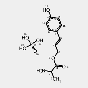 CC(N)C(=O)OC/C=C/c1ccc(O)cc1.O=P(O)(O)O